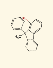 CC1(c2ccccc2)c2ccccc2-c2cccc(Br)c21